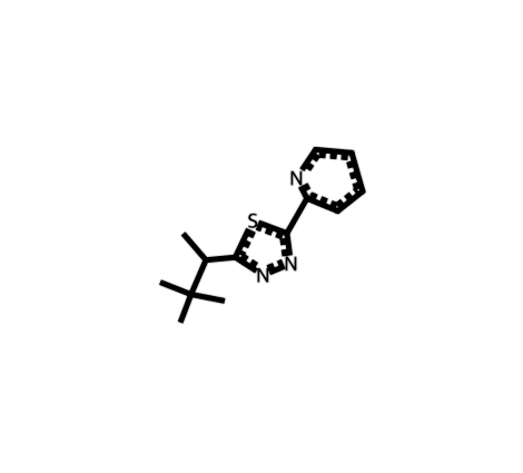 CC(c1nnc(-c2ccccn2)s1)C(C)(C)C